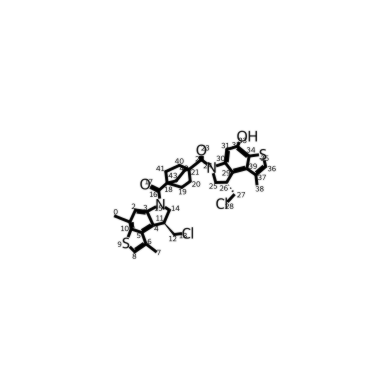 Cc1cc2c(c3c(C)csc13)[C@H](CCl)CN2C(=O)C12CCC(C(=O)N3C[C@@H](CCl)c4c3cc(O)c3scc(C)c43)(CC1)CC2